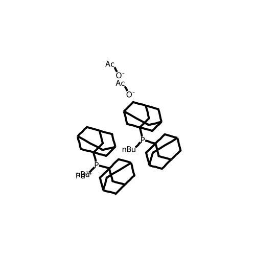 CC(=O)[O-].CC(=O)[O-].CCCCP(C12CC3CC(CC(C3)C1)C2)C12CC3CC(CC(C3)C1)C2.CCCCP(C12CC3CC(CC(C3)C1)C2)C12CC3CC(CC(C3)C1)C2.[Pd+2]